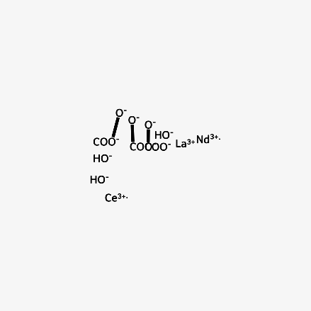 O=C([O-])[O-].O=C([O-])[O-].O=C([O-])[O-].[Ce+3].[La+3].[Nd+3].[OH-].[OH-].[OH-]